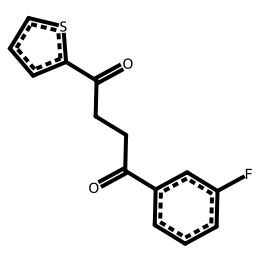 O=C(CCC(=O)c1cccs1)c1cccc(F)c1